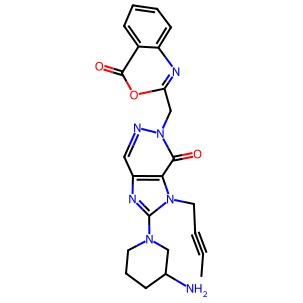 CC#CCn1c(N2CCCC(N)C2)nc2cnn(Cc3nc4ccccc4c(=O)o3)c(=O)c21